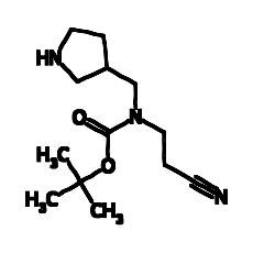 CC(C)(C)OC(=O)N(CCC#N)CC1CCNC1